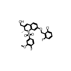 COc1cc(S(=O)(=O)N2c3cc(OCc4c(F)cccc4Cl)ccc3C=C(CO)[C@H]2C)ccc1F